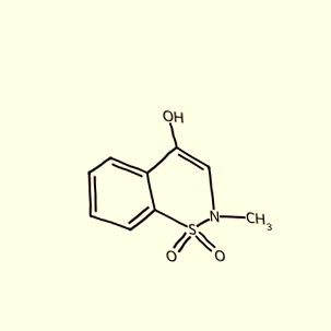 CN1C=C(O)c2ccccc2S1(=O)=O